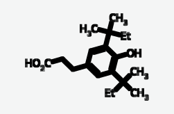 CCC(C)(C)c1cc(CCC(=O)O)cc(C(C)(C)CC)c1O